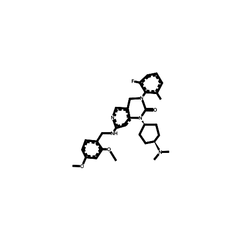 COc1ccc(CNc2cc3c(cn2)CN(c2c(C)cccc2F)C(=O)N3[C@H]2CC[C@H](N(C)C)CC2)c(OC)c1